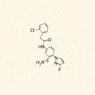 NSc1cc(NC(=O)Cc2ccccc2Cl)ccc1-n1ccc(F)n1